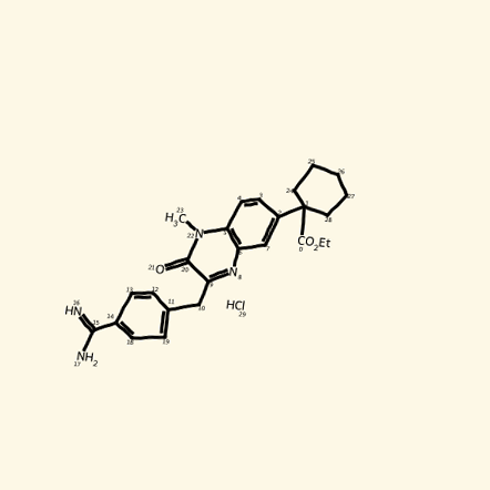 CCOC(=O)C1(c2ccc3c(c2)nc(Cc2ccc(C(=N)N)cc2)c(=O)n3C)CCCCC1.Cl